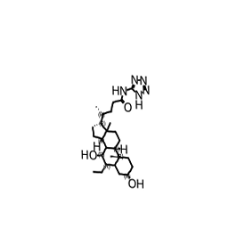 CC[C@@H]1C2C[C@H](O)CC[C@@]2(C)[C@H]2CCC3(C)[C@@H]([C@H](C)CCC(=O)Nc4nnn[nH]4)CC[C@H]3C2[C@@H]1O